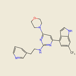 FC(F)(F)c1cc(-c2cc(N3CCOCC3)nc(NCCc3cccnc3)n2)c2cc[nH]c2c1